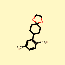 O=S(=O)(O)c1ccc(C(F)(F)F)cc1C1CCC2(CC1)OCCO2